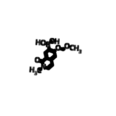 COCOc1cc2ccn(C)c(=O)c2cc1B(O)O